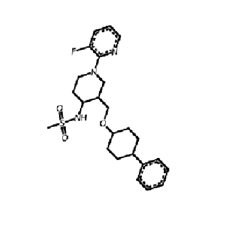 CS(=O)(=O)NC1CCN(c2ncccc2F)CC1COC1CCC(c2ccccc2)CC1